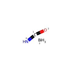 N=C=O.[BiH3]